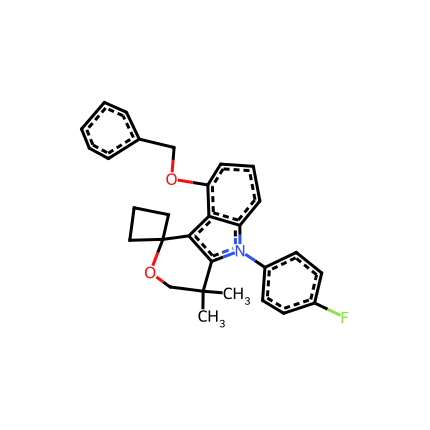 CC1(C)COC2(CCC2)c2c1n(-c1ccc(F)cc1)c1cccc(OCc3ccccc3)c21